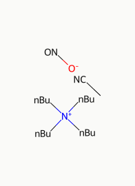 CC#N.CCCC[N+](CCCC)(CCCC)CCCC.O=N[O-]